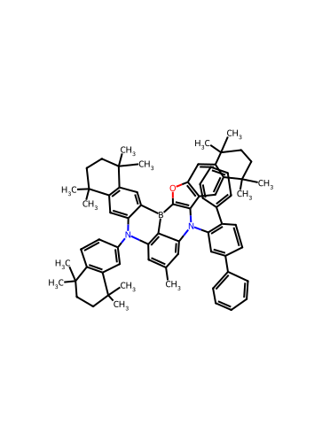 Cc1cc2c3c(c1)N(c1cc(-c4ccccc4)ccc1-c1ccccc1)c1c(oc4cc5c(cc14)C(C)(C)CCC5(C)C)B3c1cc3c(cc1N2c1ccc2c(c1)C(C)(C)CCC2(C)C)C(C)(C)CCC3(C)C